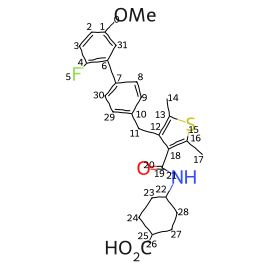 COc1ccc(F)c(-c2ccc(Cc3c(C)sc(C)c3C(=O)NC3CCC(C(=O)O)CC3)cc2)c1